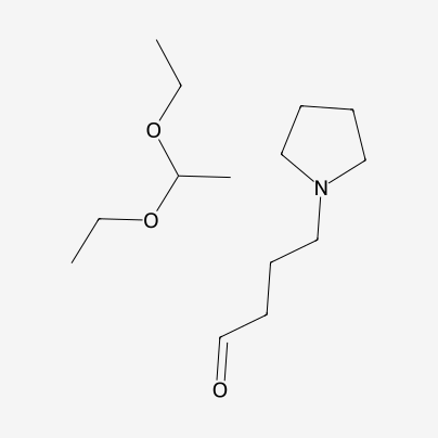 CCOC(C)OCC.O=CCCCN1CCCC1